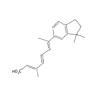 CC(C=CC=C(C)c1ccc2c(c1)C(C)(C)CC2)=CC(=O)O